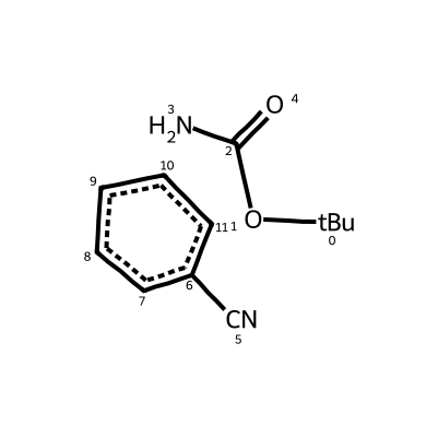 CC(C)(C)OC(N)=O.N#Cc1ccccc1